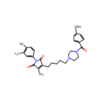 COc1ccc(C(=O)N2CCN(CCCCCC3=C(C)C(=O)N(c4ccc(C#N)c(C(F)(F)F)c4)C3=O)CC2)cc1